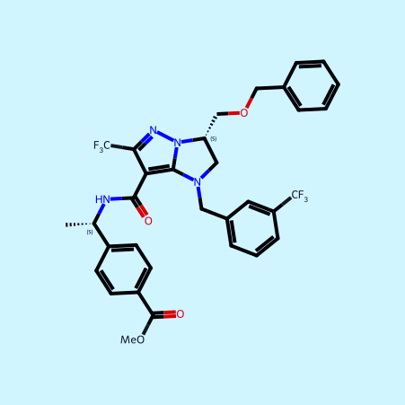 COC(=O)c1ccc([C@H](C)NC(=O)c2c(C(F)(F)F)nn3c2N(Cc2cccc(C(F)(F)F)c2)C[C@H]3COCc2ccccc2)cc1